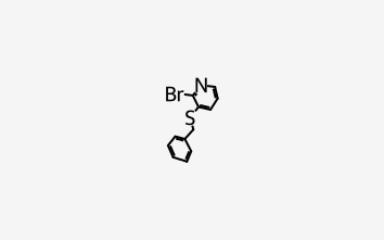 Brc1ncccc1SCc1ccccc1